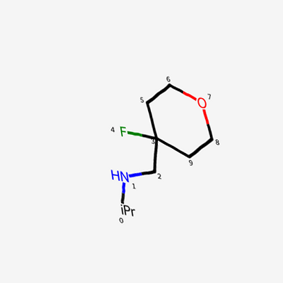 CC(C)NCC1(F)CCOCC1